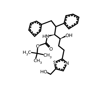 CC(C)(C)OC(=O)N[C@@H](C(Cc1ccccc1)c1ccccc1)[C@@H](O)CCc1ncc(CO)s1